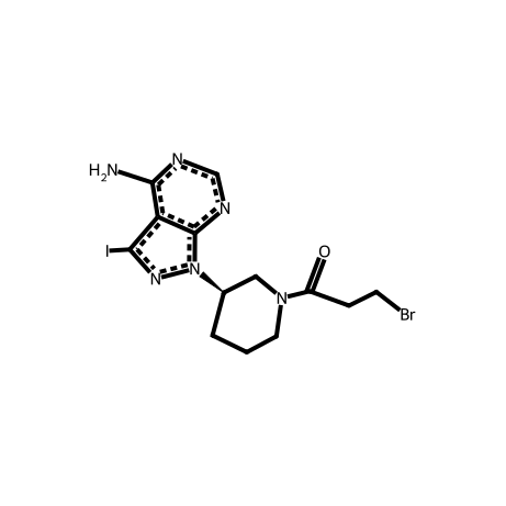 Nc1ncnc2c1c(I)nn2[C@@H]1CCCN(C(=O)CCBr)C1